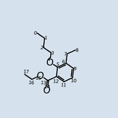 CCCCOc1c(CC)cccc1C(=O)OCC